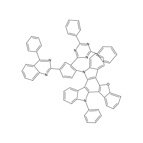 c1ccc(-c2nc(-c3ccccc3)nc(-c3cc(-c4nc(-c5ccccc5)c5ccccc5n4)ccc3-n3c4ccccc4c4c5oc6ccccc6c5c5c(c6ccccc6n5-c5ccccc5)c43)n2)cc1